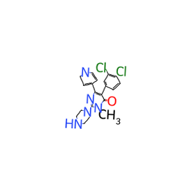 Cn1c(N2CCNCC2)nc(-c2ccncc2)c(-c2ccc(Cl)c(Cl)c2)c1=O